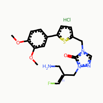 COc1ccc(-c2ccc(Cn3cnn(C/C(=C/F)CN)c3=O)s2)cc1OC.Cl